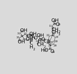 C=CC(=O)O.C=CC(=O)O.C=CC(=O)O.CC12CC3CC(C)(C1)CC(C(=O)O)(C3)C2.OCC(CO)(CO)CO